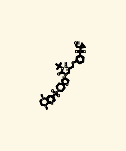 CN1CCN(C)c2ncc(S(=O)(=O)N3CCC4(CC3)C[C@@H](N(C[C@H](O)COc3cccc(S(=O)(=O)C5(CO)CC5)c3)C(=O)OC(C)(C)C)CO4)cc21